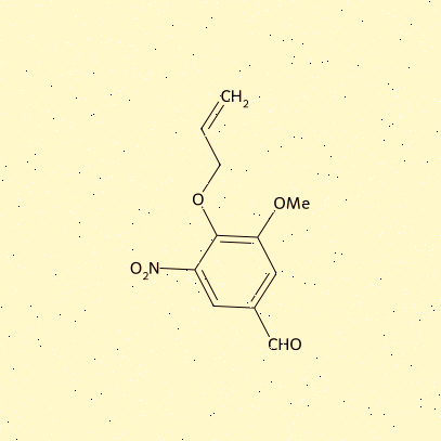 C=CCOc1c(OC)cc(C=O)cc1[N+](=O)[O-]